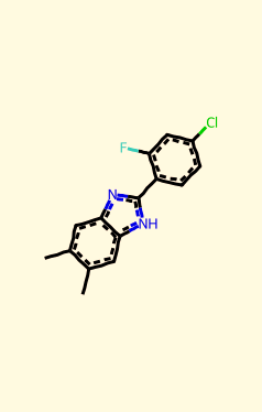 Cc1cc2nc(-c3ccc(Cl)cc3F)[nH]c2cc1C